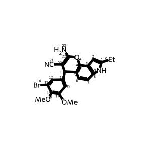 CCc1cc2c3c(ccc2[nH]1)C(c1cc(Br)c(OC)c(OC)c1)C(C#N)=C(N)O3